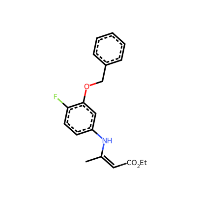 CCOC(=O)/C=C(/C)Nc1ccc(F)c(OCc2ccccc2)c1